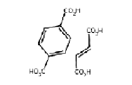 O=C(O)C=CC(=O)O.O=C(O)c1ccc(C(=O)O)cc1